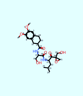 COc1cc2c(cc1OC)CC(C(=O)NC(CO)C(=O)NC(CC(C)C)C(=O)C1(CO)CO1)CC2